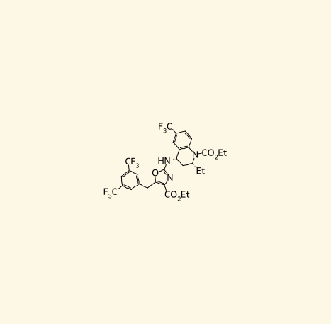 CCOC(=O)c1nc(N[C@H]2C[C@@H](CC)N(C(=O)OCC)c3ccc(C(F)(F)F)cc32)oc1Cc1cc(C(F)(F)F)cc(C(F)(F)F)c1